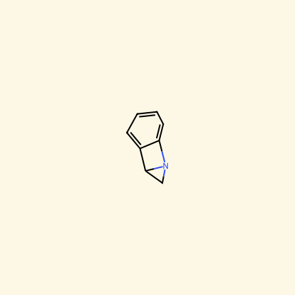 c1ccc2c(c1)C1CN21